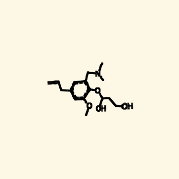 C=CCc1cc(CN(C)C)c(OC(O)CCO)c(OC)c1